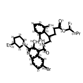 CCCC(F)OC(=O)CCC(CNC(=O)c1c(C)c(N2CCCC(CC)C2)nc2ccc(Br)cc12)c1c(F)cccc1F